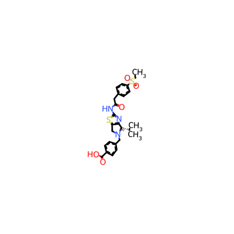 CCS(=O)(=O)c1ccc(CC(=O)Nc2nc3c(s2)CN(Cc2ccc(C(=O)O)cc2)[C@H]3C(C)C)cc1